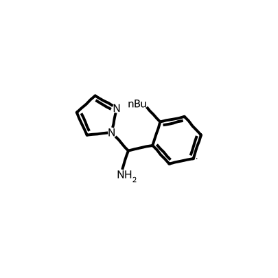 CCCCc1cc[c]cc1C(N)n1cccn1